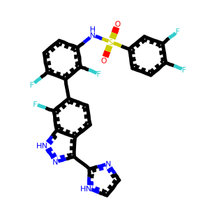 O=S(=O)(Nc1ccc(F)c(-c2ccc3c(-c4ncc[nH]4)n[nH]c3c2F)c1F)c1ccc(F)c(F)c1